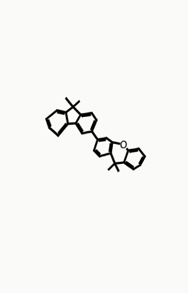 CC1(C)c2ccccc2Oc2cc(-c3ccc4c(c3)-c3ccccc3C4(C)C)ccc21